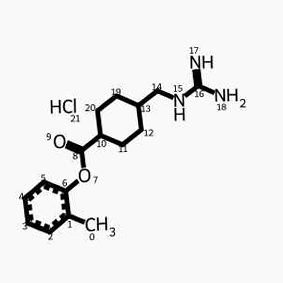 Cc1ccccc1OC(=O)C1CCC(CNC(=N)N)CC1.Cl